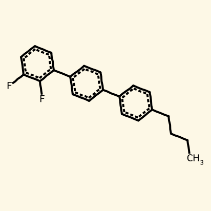 CCCCc1ccc(-c2ccc(-c3cccc(F)c3F)cc2)cc1